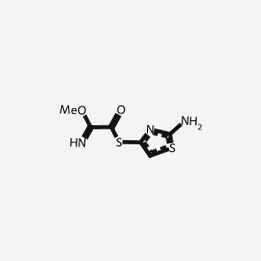 COC(=N)C(=O)Sc1csc(N)n1